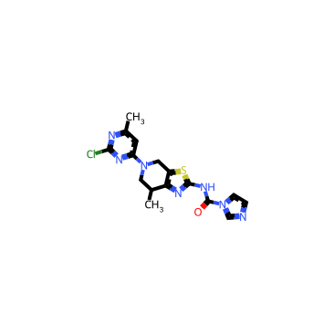 Cc1cc(N2Cc3sc(NC(=O)n4ccnc4)nc3C(C)C2)nc(Cl)n1